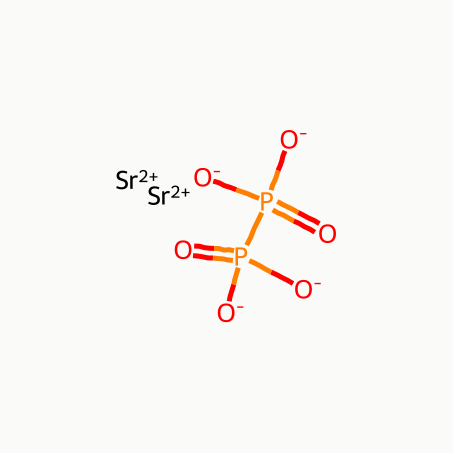 O=P([O-])([O-])P(=O)([O-])[O-].[Sr+2].[Sr+2]